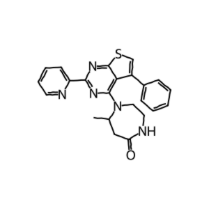 CC1CC(=O)NCCN1c1nc(-c2ccccn2)nc2scc(-c3ccccc3)c12